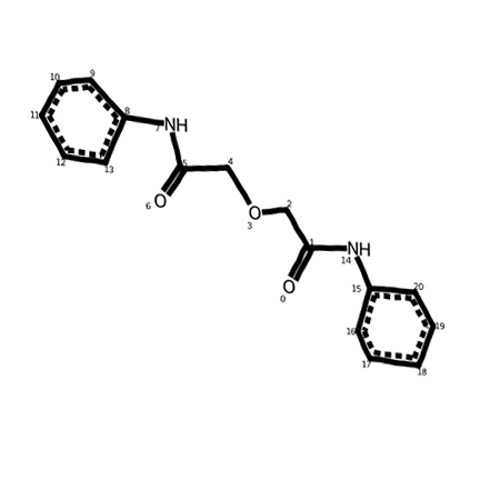 O=C(COCC(=O)Nc1ccccc1)Nc1ccccc1